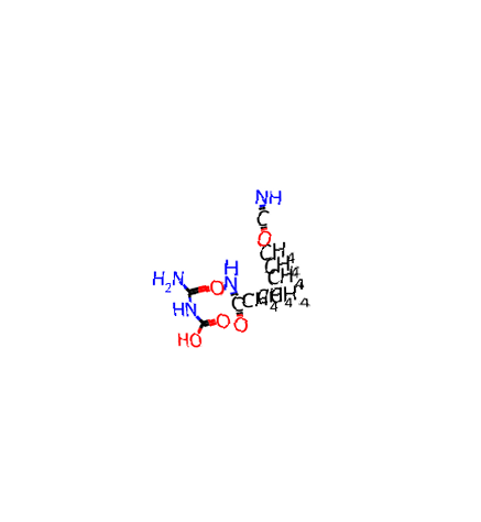 C.C.C.C.C.C.N=C=O.N=C=O.NC(=O)NC(=O)O